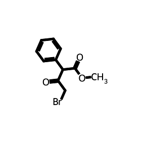 COC(=O)C(C(=O)CBr)c1ccccc1